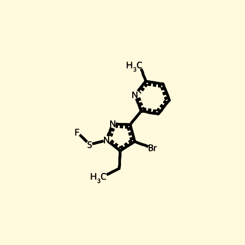 CCc1c(Br)c(-c2cccc(C)n2)nn1SF